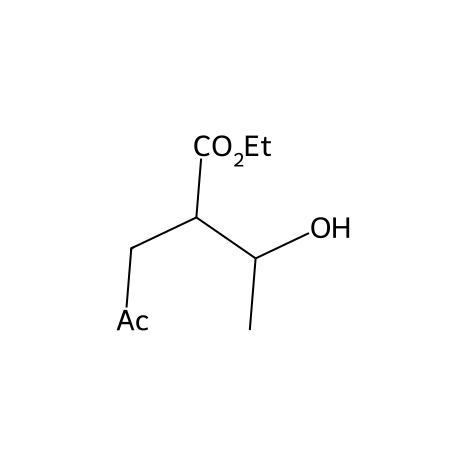 CCOC(=O)C(CC(C)=O)C(C)O